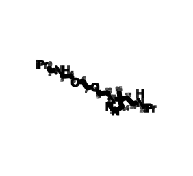 CC(C)CNCCOCCOCCN1N=NCC1(C)CCNC(C)C